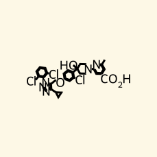 Cc1cc(C(=O)O)cc(N2CCC(O)(c3ccc(OCc4c(C5CC5)nnn4-c4c(Cl)cccc4Cl)cc3Cl)CC2)n1